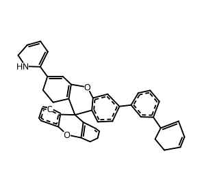 C1=CCCC(c2cccc(-c3ccc4c(c3)OC3=C(CCC(C5=CC=CCN5)=C3)C43C4=C(CCC=C4)Oc4ccccc43)c2)=C1